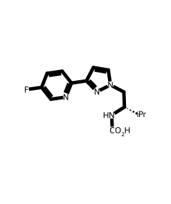 CC(C)[C@@H](Cn1ccc(-c2ccc(F)cn2)n1)NC(=O)O